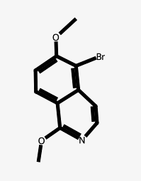 COc1ccc2c(OC)nccc2c1Br